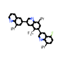 CC(C)c1cc(-c2cnc3c(C(C)C)cc(-c4cnc5c(C(C)C)ccc(F)c5c4)c(C(F)(F)F)c3c2)cc2cccnc12